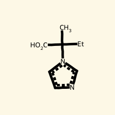 CCC(C)(C(=O)O)n1ccnc1